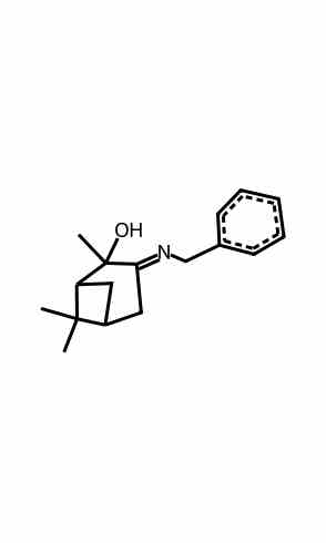 CC1(O)C(=NCc2ccccc2)CC2CC1C2(C)C